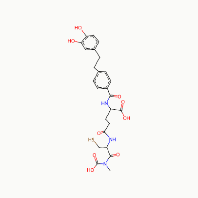 CN(C(=O)O)C(=O)C(CS)NC(=O)CCC(NC(=O)c1ccc(CCc2ccc(O)c(O)c2)cc1)C(=O)O